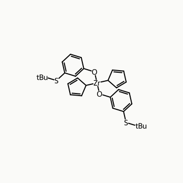 CC(C)(C)Sc1cccc([O][Zr]([O]c2cccc(SC(C)(C)C)c2)([CH]2C=CC=C2)[CH]2C=CC=C2)c1